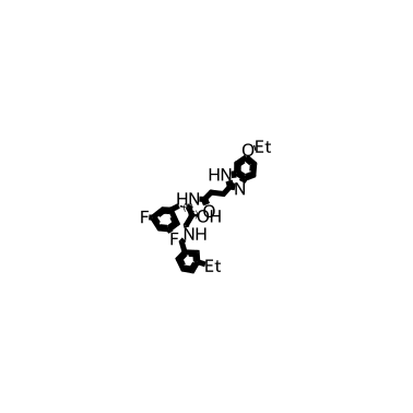 CCOc1ccc2nc(CCC(=O)N[C@@H](Cc3cc(F)cc(F)c3)[C@@H](O)CNCc3cccc(CC)c3)[nH]c2c1